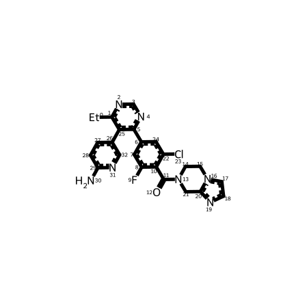 CCc1ncnc(-c2cc(F)c(C(=O)N3CCn4ccnc4C3)c(Cl)c2)c1-c1ccc(N)nc1